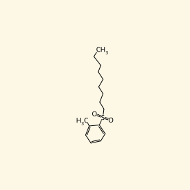 CCCCCCCCCS(=O)(=O)c1ccccc1C